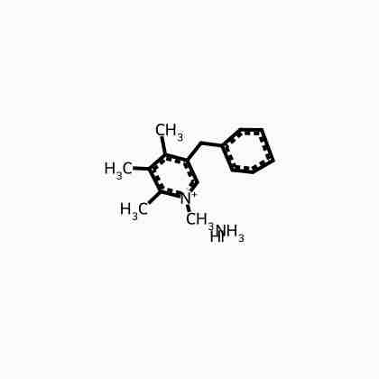 Cc1c(Cc2ccccc2)c[n+](C)c(C)c1C.I.N